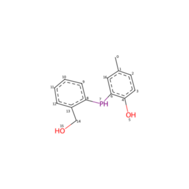 Cc1ccc(O)c(Pc2ccccc2CO)c1